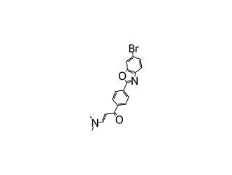 CN(C)/C=C/C(=O)c1ccc(-c2nc3ccc(Br)cc3o2)cc1